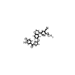 COc1ncc(N2CCOc3ccc(OC4CCN(C(=O)c5ccc(=O)[nH]c5)C4)cc32)cc1C#N